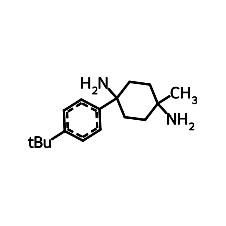 CC1(N)CCC(N)(c2ccc(C(C)(C)C)cc2)CC1